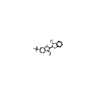 CCN1/C(=C2\Cc3ccccc3C2=O)Sc2cc(C(C)(C)C)ccc21